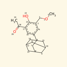 COCc1cc(C23CC4CC(CC(C4)C2)C3)cc(C(C)=O)c1O